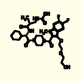 C[C@@H](CNC(=O)O)C(=O)N[C@H](C(=O)N1CCN(C(=O)c2c(OCCOCCO)c3cc(F)c(F)cc3n2C)CC1)C1CCCCC1